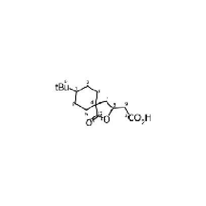 CC(C)(C)C1CCC2(CC1)CC(CC(=O)O)OC2=O